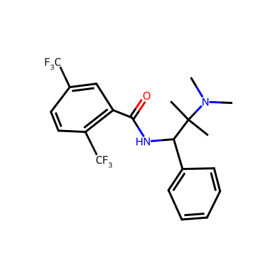 CN(C)C(C)(C)C(NC(=O)c1cc(C(F)(F)F)ccc1C(F)(F)F)c1ccccc1